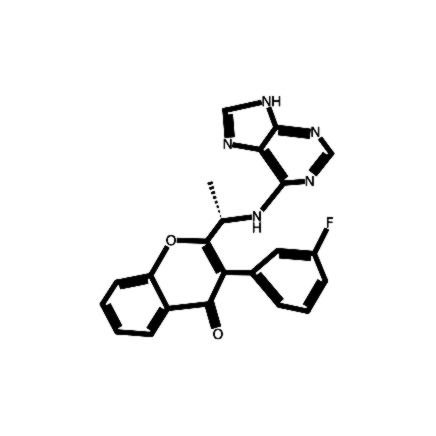 C[C@H](Nc1ncnc2[nH]cnc12)c1oc2ccccc2c(=O)c1-c1cccc(F)c1